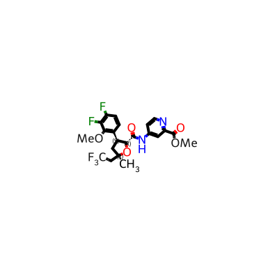 COC(=O)c1cc(NC(=O)[C@@H]2O[C@@](C)(CC(F)(F)F)C[C@H]2c2ccc(F)c(F)c2OC)ccn1